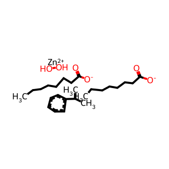 CC(C)c1ccccc1.CCCCCCCC(=O)[O-].CCCCCCCC(=O)[O-].OO.[Zn+2]